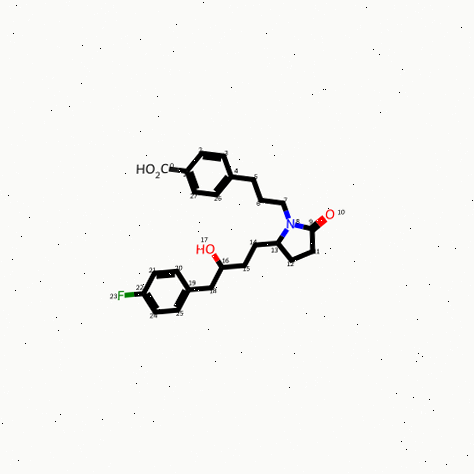 O=C(O)c1ccc(CCCN2C(=O)CCC2CCC(O)Cc2ccc(F)cc2)cc1